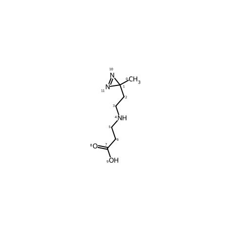 CC1(CCNCCC(=O)O)N=N1